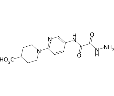 NNC(=O)C(=O)Nc1ccc(N2CCC(C(=O)O)CC2)nc1